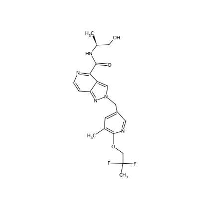 Cc1cc(Cn2cc3c(C(=O)N[C@@H](C)CO)nccc3n2)cnc1OCC(C)(F)F